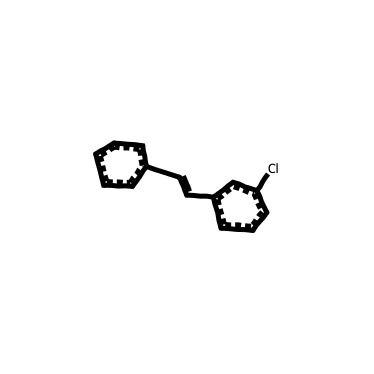 Clc1cccc(C=Cc2ccccc2)c1